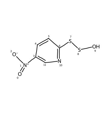 O=[N+]([O-])c1ccc(SSO)nc1